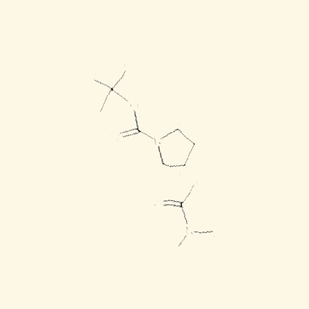 CN(C)C(=O)C[C@H]1CCN(C(=O)OC(C)(C)C)C1